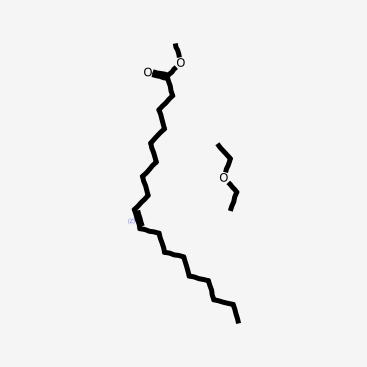 CCCCCCCC/C=C\CCCCCCCC(=O)OC.CCOCC